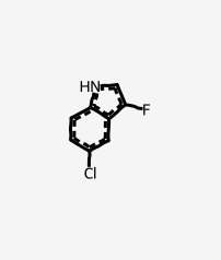 Fc1c[nH]c2ccc(Cl)cc12